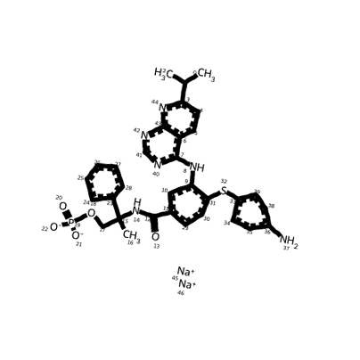 CC(C)c1ccc2c(Nc3cc(C(=O)NC(C)(COP(=O)([O-])[O-])c4ccccc4)ccc3Sc3ccc(N)cc3)ncnc2n1.[Na+].[Na+]